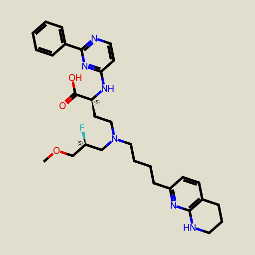 COC[C@@H](F)CN(CCCCc1ccc2c(n1)NCCC2)CC[C@H](Nc1ccnc(-c2ccccc2)n1)C(=O)O